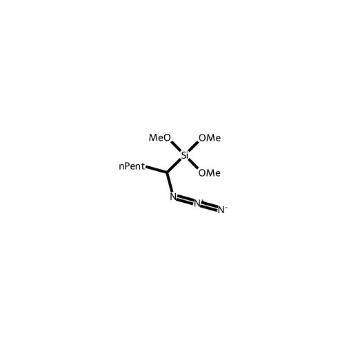 CCCCCC(N=[N+]=[N-])[Si](OC)(OC)OC